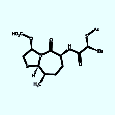 CC[C@H](C)[C@H](SC(C)=O)C(=O)N[C@H]1CC[C@@H](C)[C@H]2SC[C@@H](OC(=O)O)N2C1=O